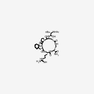 CCCC[C@H](NC(C)=O)C(O)N[C@H]1CCC(=O)NCC[C@@H](C(N)=O)NC(=O)[C@H](CCCNC(=N)N)NC(=O)[C@@H](Cc2ccccc2)NC(=O)[C@@H]2CCCN2C1=O